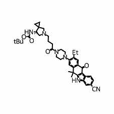 CCc1cc2c(cc1N1CCN(C(=O)CCCN3C[C@H](NC(=O)OC(C)(C)C)C4(CC4)C3)CC1)C(C)(C)c1[nH]c3cc(C#N)ccc3c1C2=O